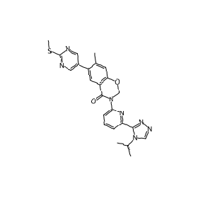 CSc1ncc(-c2cc3c(cc2C)OCN(c2cccc(-c4nncn4C(C)C)n2)C3=O)cn1